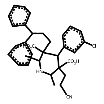 CC1NC(C)C(CCC(c2ccccc2)c2ccccc2)(C(=O)O)C(c2cccc(Cl)c2)C1(CCC#N)C(=O)O